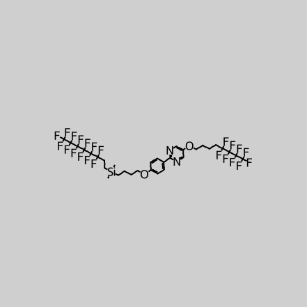 C[Si](C)(CCCCOc1ccc(-c2ncc(OCCCCC(F)(F)C(F)(F)C(F)(F)C(F)(F)F)cn2)cc1)CCC(F)(F)C(F)(F)C(F)(F)C(F)(F)C(F)(F)C(F)(F)F